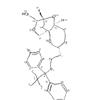 CC(C)(C)[Si](OCC[C@H]1CC[C@@H]2O[C@@H]3C[C@]2(COC3O)O1)(c1ccccc1)c1ccccc1